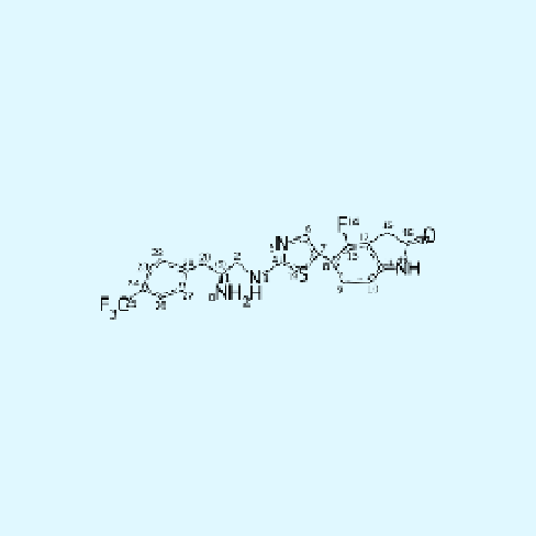 N[C@H](CNc1ncc(-c2ccc3c(c2F)CC(=O)N3)s1)Cc1ccc(C(F)(F)F)cc1